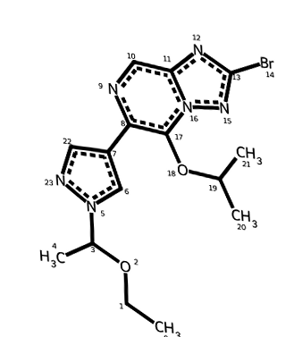 CCOC(C)n1cc(-c2ncc3nc(Br)nn3c2OC(C)C)cn1